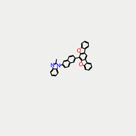 Cc1nc2ccccc2n1-c1ccc2cc(-c3c4oc5ccccc5c4cc4c3oc3ccccc34)ccc2c1